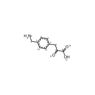 NCc1ccc(CC(=O)C(=O)O)cc1